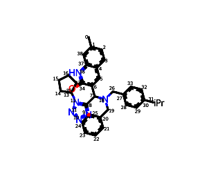 Cc1ccc2cc(C(c3nnnn3C3CCCC3)N(Cc3ccccc3)Cc3ccc(C(C)C)cc3)c(=O)[nH]c2c1